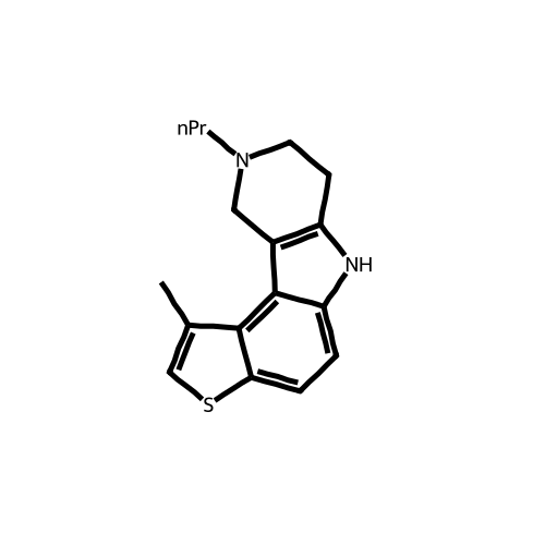 CCCN1CCc2[nH]c3ccc4scc(C)c4c3c2C1